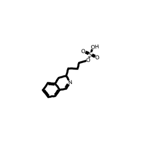 O=S(=O)(O)OCCCC1Cc2ccccc2C=N1